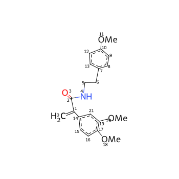 C=C(C(=O)NCCc1ccc(OC)cc1)c1ccc(OC)c(OC)c1